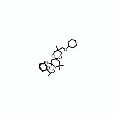 CCC1(CC)CC2(CC(C)(C)N1OC(C)c1ccccc1)OCC(C)(COC1CCCCC1)CO2